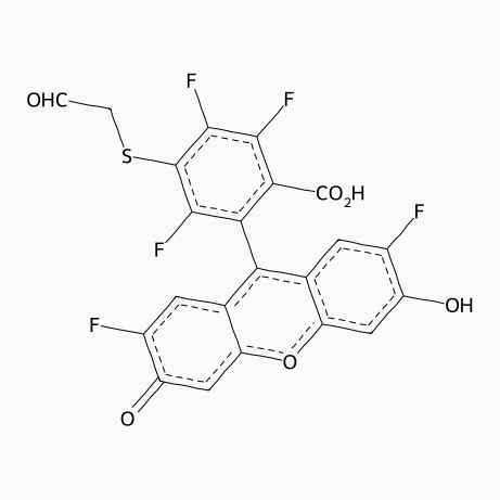 O=CCSc1c(F)c(F)c(C(=O)O)c(-c2c3cc(F)c(=O)cc-3oc3cc(O)c(F)cc23)c1F